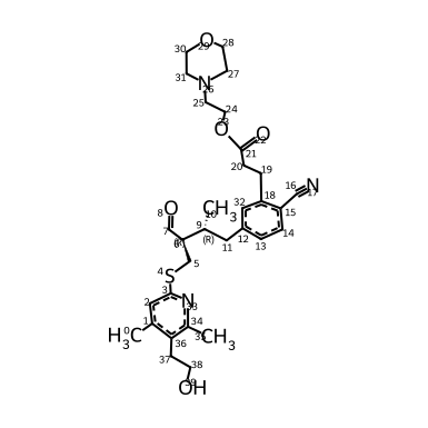 Cc1cc(SC[C@@H](C=O)[C@H](C)Cc2ccc(C#N)c(CCC(=O)OCCN3CCOCC3)c2)nc(C)c1CCO